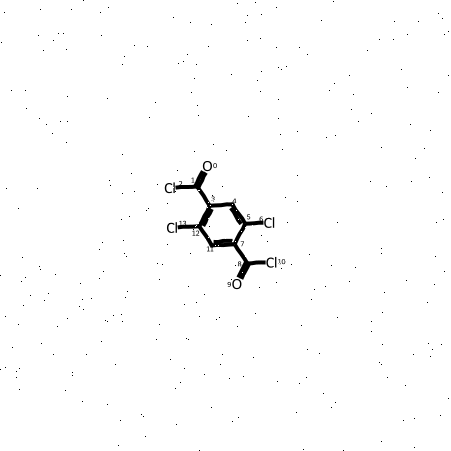 O=C(Cl)c1cc(Cl)c(C(=O)Cl)cc1Cl